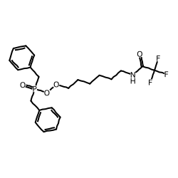 O=C(NCCCCCCOOP(=O)(Cc1ccccc1)Cc1ccccc1)C(F)(F)F